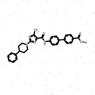 COC(=O)c1ccc(-c2ccc(NC(=O)c3oc(N4CCC(c5ccccc5)CC4)nc3C(F)(F)F)cc2)cc1